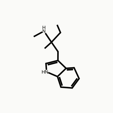 CCC(C)(Cc1c[nH]c2ccccc12)NC